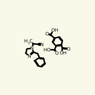 CC(C#N)N1CCN=C1Cc1ccccc1.O=C(O)c1ccc(C(=O)O)c(C(=O)O)c1